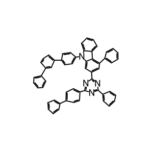 c1ccc(-c2ccc(-c3nc(-c4ccccc4)nc(-c4cc(-c5ccccc5)c5c6ccccc6n(-c6ccc(-c7cccc(-c8ccccc8)c7)cc6)c5c4)n3)cc2)cc1